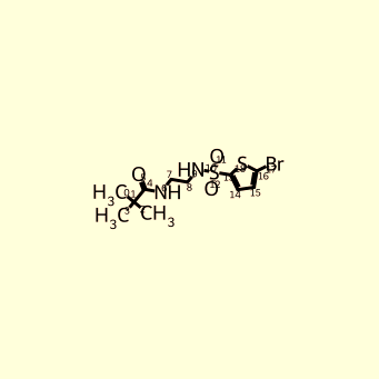 CC(C)(C)C(=O)NCCNS(=O)(=O)c1ccc(Br)s1